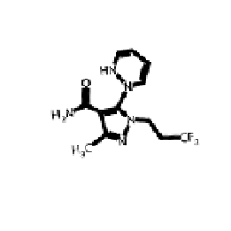 Cc1nn(CCC(F)(F)F)c(N2C=CC=CN2)c1C(N)=O